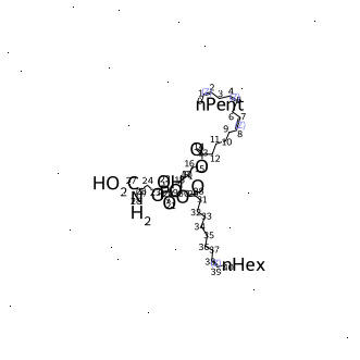 CCCCC/C=C\C/C=C\C/C=C\CCCCC(=O)OC[C@H](COP(=O)(O)OC[C@H](N)C(=O)O)OC(=O)CCCCCCC/C=C\CCCCCC